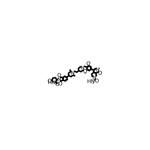 CNC(=O)N1CCc2c(-c3cc(OC)c(CN4CCC(CCN5C(C)CC(c6ccc7c(c6)C(=O)N(C6CCC(=O)NC6=O)C7=O)CC5C)CC4)c(OC)c3)cn(C)c(=O)c2C1